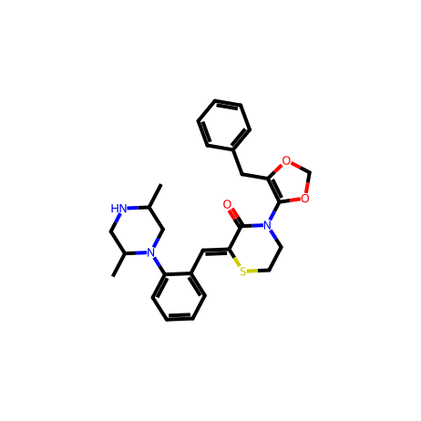 CC1CN(c2ccccc2C=C2SCCN(C3=C(Cc4ccccc4)OCO3)C2=O)C(C)CN1